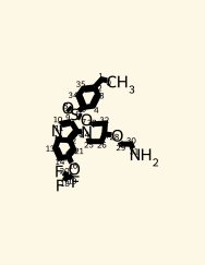 CCc1ccc(S(=O)(=O)c2cnc3ccc(OC(F)(F)F)cc3c2N2CCC(OCCN)CC2)cc1